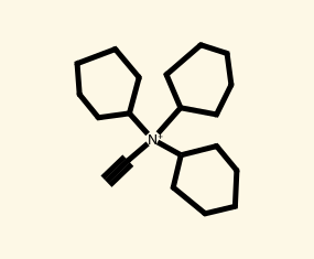 C#C[N+](C1CCCCC1)(C1CCCCC1)C1CCCCC1